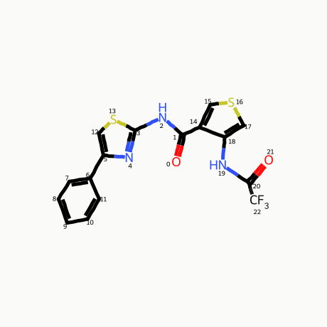 O=C(Nc1nc(-c2ccccc2)cs1)c1cscc1NC(=O)C(F)(F)F